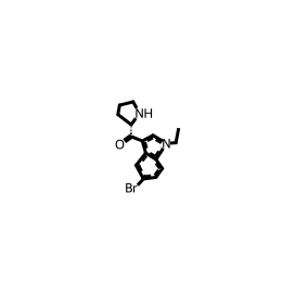 CCn1cc(C(=O)[C@@H]2CCCN2)c2cc(Br)ccc21